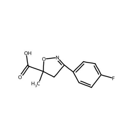 CC1(C(=O)O)CC(c2ccc(F)cc2)=NO1